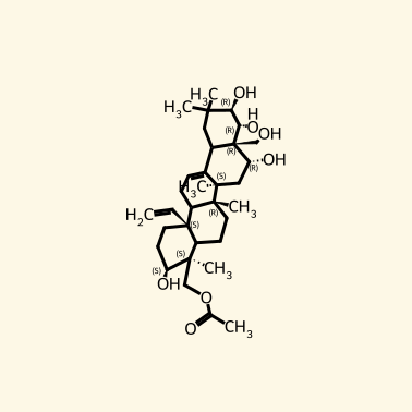 C=C[C@]12CC[C@H](O)[C@](C)(COC(C)=O)C1CC[C@]1(C)C2CC=C2C3CC(C)(C)[C@@H](O)[C@H](O)[C@]3(CO)[C@H](O)C[C@]21C